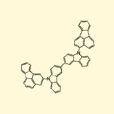 c1ccc2c(c1)-c1cccc3cc(-n4c5ccccc5c5cc(-c6ccc7c(c6)c6ccccc6n7-c6ccc7c8c(cccc68)-c6ccccc6-7)ccc54)cc-2c13